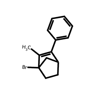 CC1=C(c2ccccc2)C2CCC1(Br)C2